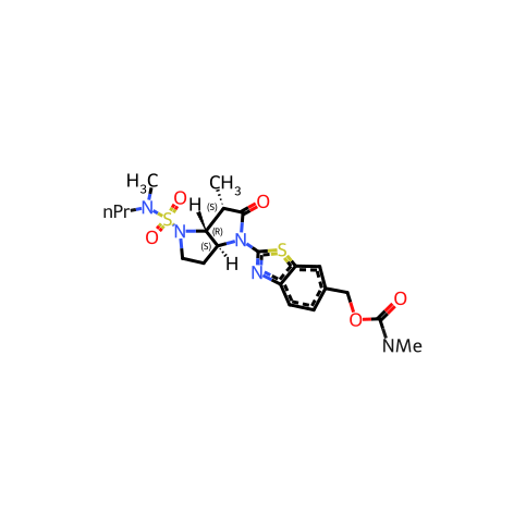 CCCN(C)S(=O)(=O)N1CC[C@H]2[C@H]1[C@H](C)C(=O)N2c1nc2ccc(COC(=O)NC)cc2s1